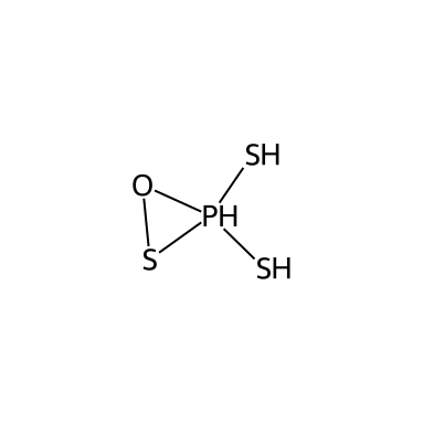 S[PH]1(S)OS1